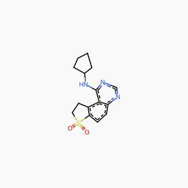 O=S1(=O)CCc2c1ccc1ncnc(NC3CCCC3)c21